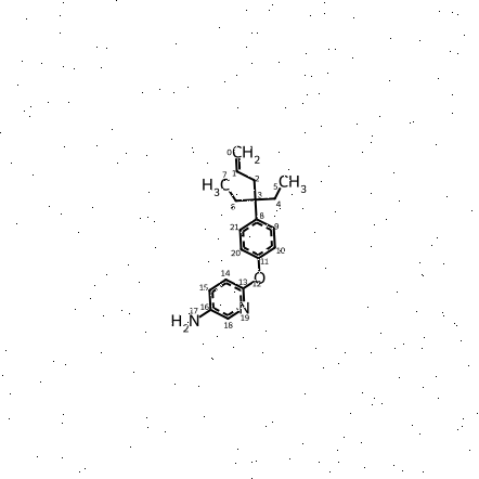 C=CCC(CC)(CC)c1ccc(Oc2ccc(N)cn2)cc1